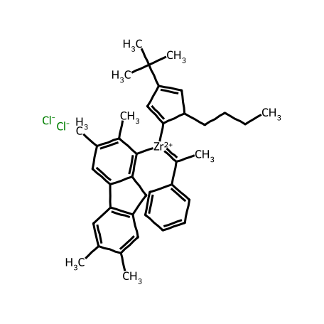 CCCCC1C=C(C(C)(C)C)C=[C]1/[Zr+2](=[C](\C)c1ccccc1)[c]1c(C)c(C)cc2c1Cc1cc(C)c(C)cc1-2.[Cl-].[Cl-]